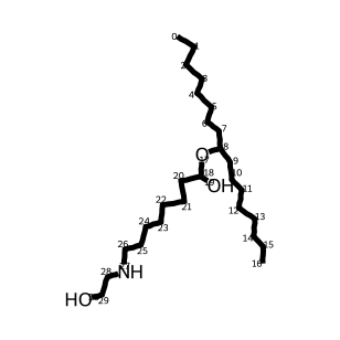 CCCCCCCCC(CCCCCCCC)OC(O)CCCCCCCNCCO